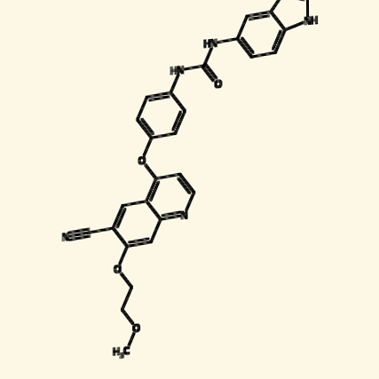 COCCOc1cc2nccc(Oc3ccc(NC(=O)Nc4ccc5[nH]cnc5c4)cc3)c2cc1C#N